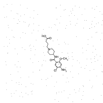 COc1cc(N)c(Cl)cc1C(=O)NC1CCN(CCCC(=O)O)CC1